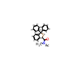 CC(=O)N(C)C(=O)CSC(c1ccccc1)(c1ccccc1)c1ccccc1